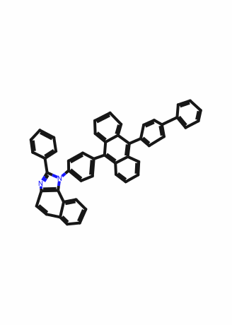 c1ccc(-c2ccc(-c3c4ccccc4c(-c4ccc(-n5c(-c6ccccc6)nc6ccc7ccccc7c65)cc4)c4ccccc34)cc2)cc1